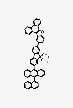 CC1(C)c2cc(-c3ccc4oc5c6ccccc6c6ccccc6c5c4c3)ccc2-c2ccc(-c3c4ccccc4c(-c4cccc5ccccc45)c4ccccc34)cc21